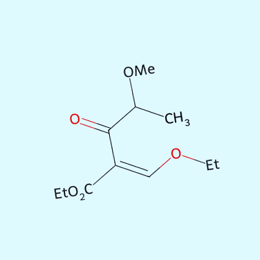 CCO/C=C(/C(=O)OCC)C(=O)C(C)OC